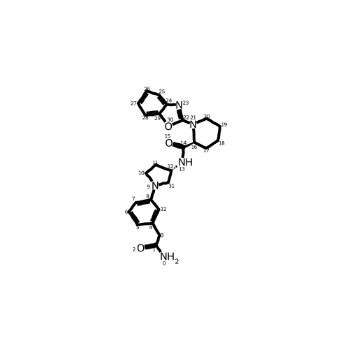 NC(=O)Cc1cccc(N2CC[C@H](NC(=O)[C@@H]3CCCCN3c3nc4ccccc4o3)C2)c1